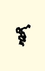 CCCCn1c2ccccc2[n+]2c3ccc(N)cc3ccc12